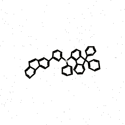 c1ccc(N(c2cccc(-c3ccc4c(ccc5ccccc54)c3)c2)c2cccc3c2-c2ccccc2C3(c2ccccc2)c2ccccc2)cc1